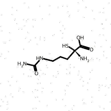 NC(=O)NCCC[C@](N)(S)C(=O)O